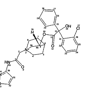 O=C(C[N+]12CCC(CC1)[C@@H](OC(=O)C(O)(c1ccccc1)c1ccccc1Cl)C2)Nc1ccon1